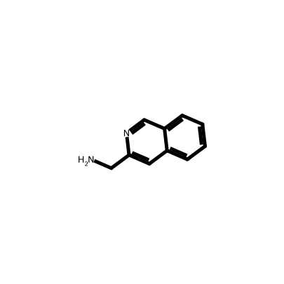 NCc1cc2ccccc2cn1